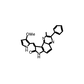 COc1cc[nH]c1C=C1C(=O)Nc2ccc3nc(-c4ccccc4)c(C)nc3c21